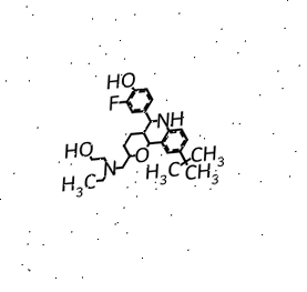 CCN(CCO)CC1CCC2C(c3ccc(O)c(F)c3)Nc3ccc(C(C)(C)C)cc3C2O1